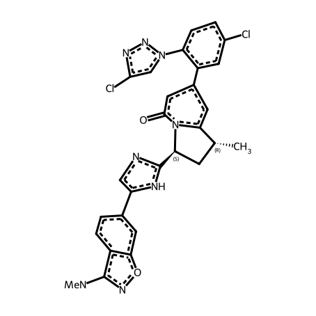 CNc1noc2cc(-c3cnc([C@@H]4C[C@@H](C)c5cc(-c6cc(Cl)ccc6-n6cc(Cl)nn6)cc(=O)n54)[nH]3)ccc12